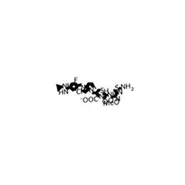 CO/N=C(\C(=O)N[C@@H]1C(=O)N2C(C(=O)[O-])=C(C[n+]3cccc4c3ccn4Cc3c(F)cc(C(=N)NC4CC4)cc3Cl)CS[C@H]12)c1csc(N)n1